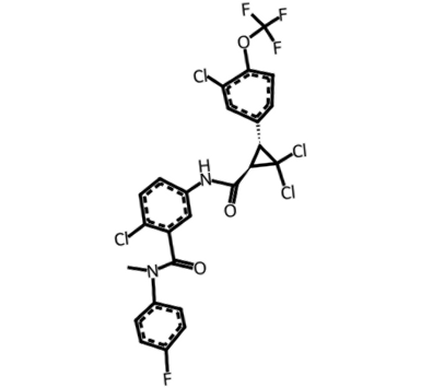 CN(C(=O)c1cc(NC(=O)[C@H]2[C@H](c3ccc(OC(F)(F)F)c(Cl)c3)C2(Cl)Cl)ccc1Cl)c1ccc(F)cc1